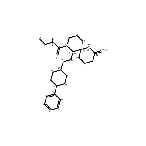 CCNC(=O)N1CCC[C@]2(CCCC(=O)N2)[C@H]1COC1CCC(c2ccccc2)CC1